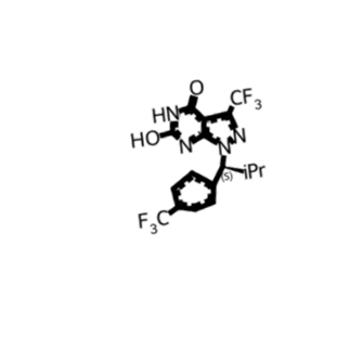 CC(C)[C@@H](c1ccc(C(F)(F)F)cc1)n1nc(C(F)(F)F)c2c(=O)[nH]c(O)nc21